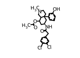 CC(=O)OC1C[C@H](NC(=O)Cc2ccc(Cl)c(Cl)c2)CC2(c3cccc(O)c3)CCN(C)CC12